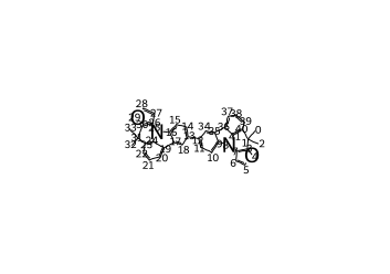 CC1(C)c2occc2-n2c3ccc(-c4ccc5c(c4)c4cccc6c4n5-c4ccoc4C6(C)C)cc3c3cccc1c32